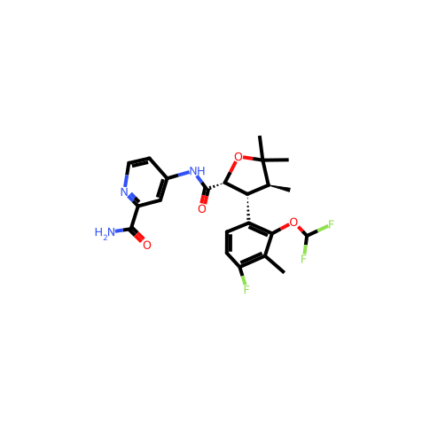 Cc1c(F)ccc([C@@H]2[C@H](C(=O)Nc3ccnc(C(N)=O)c3)OC(C)(C)[C@H]2C)c1OC(F)F